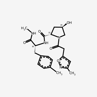 CNC(=O)[C@@H](Cc1ccc(C)cc1)NC(=O)[C@@H]1C[C@@H](O)CN1C(=O)Cc1cc(C)no1